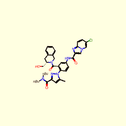 CCCCN(CCCC)C(=O)c1cc(C)n(-c2ccc(NC(=O)c3cn4cc(Cl)ccc4n3)cc2C(=O)N2Cc3ccccc3C[C@H]2CO)n1